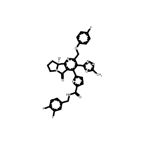 Cc1nnc(-c2c(COc3ccc(F)cc3)nc3c(c2-c2ccc(C(=O)NCc4ccc(F)c(F)c4)s2)C(=O)N2CCC[C@@H]32)o1